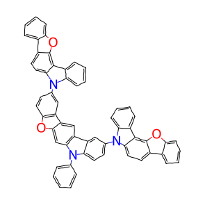 c1ccc(-n2c3ccc(-n4c5ccccc5c5c6oc7ccccc7c6ccc54)cc3c3cc4c(cc32)oc2ccc(-n3c5ccccc5c5c6oc7ccccc7c6ccc53)cc24)cc1